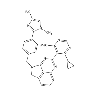 COc1ncnc(C2CC2)c1-c1nc2c3c(cccc3n1)CN2Cc1ccc(-c2nc(C(F)(F)F)cn2C)cc1